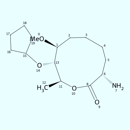 CO[C@H]1CCCC[C@H](N)C(=O)O[C@@H](C)[C@@H]1OC1CCCC1